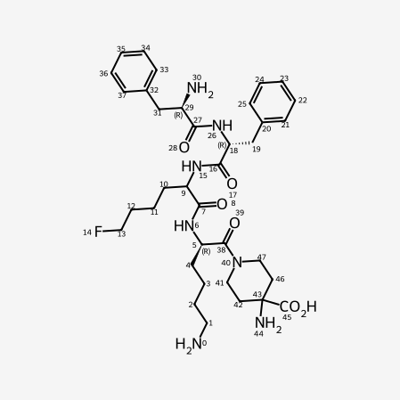 NCCCC[C@@H](NC(=O)C(CCCCF)NC(=O)[C@@H](Cc1ccccc1)NC(=O)[C@H](N)Cc1ccccc1)C(=O)N1CCC(N)(C(=O)O)CC1